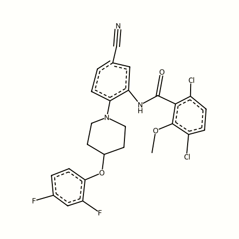 COc1c(Cl)ccc(Cl)c1C(=O)Nc1cc(C#N)ccc1N1CCC(Oc2ccc(F)cc2F)CC1